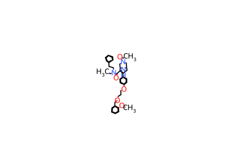 CCN(CCc1ccccc1)C(=O)C1=C(c2ccc(OCCCOCc3ccccc3OC)cc2)CC2CN(C(C)=O)CC1N2